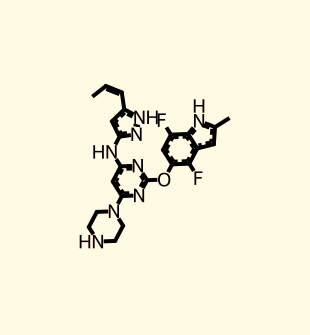 C/C=C\c1cc(Nc2cc(N3CCNCC3)nc(Oc3cc(F)c4[nH]c(C)cc4c3F)n2)n[nH]1